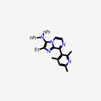 CCCN(CCC)c1c(CC)nc2c(-c3c(C)cc(C)nc3C)nccn12